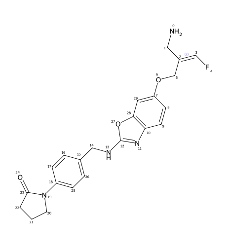 NC/C(=C/F)COc1ccc2nc(NCc3ccc(N4CCCC4=O)cc3)oc2c1